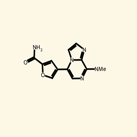 CNc1ncc(-c2coc(C(N)=O)c2)n2ccnc12